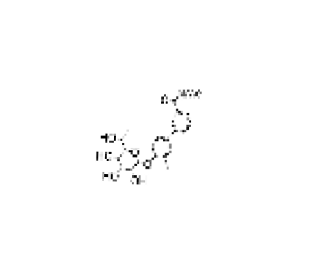 CNC(=O)c1cccc(-c2ccc(O[C@H]3O[C@H]([C@@H](C)O)[C@@H](O)[C@@H](O)[C@H]3O)c(C)c2)c1